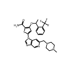 CC(Oc1cc(-n2cnc3cnc(CN4CCN(C)CC4)cc32)sc1C(N)=O)c1ccccc1C(F)(F)F